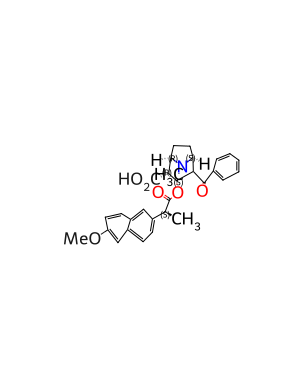 COc1ccc2cc([C@H](C)C(=O)O[C@H]3C(C(=O)c4ccccc4)[C@@H]4CC[C@H]([C@H]3C(=O)O)N4C)ccc2c1